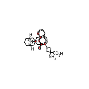 NC1(C(=O)O)CN(c2nc3ccccc3n([C@H]3C[C@H]4CCC[C@@H](C3)N4[C@@H]3C[C@@H]4CCCC[C@@H](C4)C3)c2=O)C1